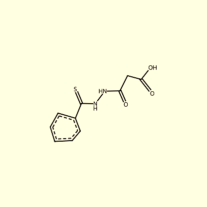 O=C(O)CC(=O)NNC(=S)c1ccccc1